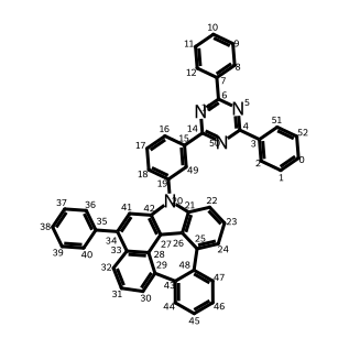 c1ccc(-c2nc(-c3ccccc3)nc(-c3cccc(-n4c5cccc6c5c5c7c(cccc7c(-c7ccccc7)cc54)-c4ccccc4-6)c3)n2)cc1